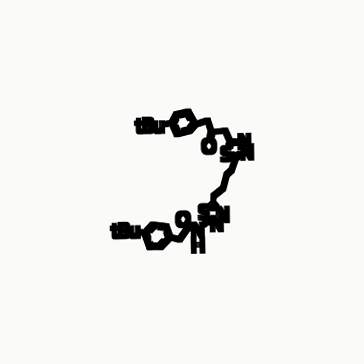 CC(C)(C)c1ccc(CC(=O)Cc2nnc(CCCCc3nnc(NC(=O)Cc4ccc(C(C)(C)C)cc4)s3)s2)cc1